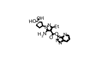 CCc1nn(C2CCS(O)(O)C2)c(N)c1C(=O)On1nnc2cccnc21